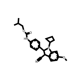 COc1ccc2c(c1)N(C1CCC1)C(c1ccc(NC(=O)OCC(C)C)cc1)C2C#N